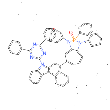 O=P1(c2ccccc2)N(c2ccccc2)C2=C=CC=C(c3cc4c(c5ccccc35)c3ccccc3n4-c3nc(-c4ccccc4)nc(-c4ccccc4)n3)C=C2N1c1ccccc1